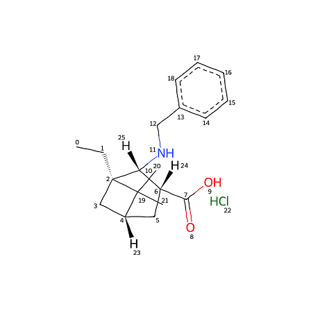 CC[C@]12C[C@@H](C[C@@H](C(=O)O)[C@H]1NCc1ccccc1)C2(C)C.Cl